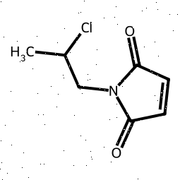 CC(Cl)CN1C(=O)C=CC1=O